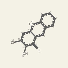 O=c1c2cc3ccccc3[nH]c-2cc(Cl)c1O